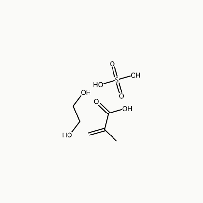 C=C(C)C(=O)O.O=S(=O)(O)O.OCCO